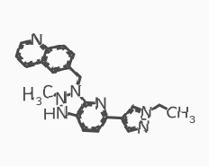 CCn1cc(-c2ccc3c(n2)N(Cc2ccc4ncccc4c2)N(C)N3)cn1